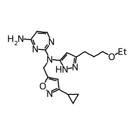 CCOCCCc1cc(N(Cc2cc(C3CC3)no2)c2nccc(N)n2)[nH]n1